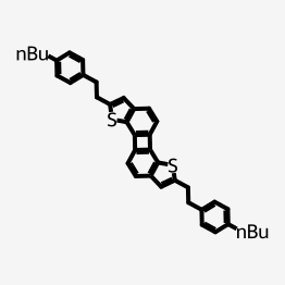 CCCCc1ccc(CCc2cc3ccc4c(c3s2)-c2ccc3cc(CCc5ccc(CCCC)cc5)sc3c2-4)cc1